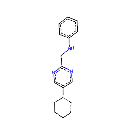 c1ccc(NCc2ncc(C3CCCCC3)cn2)cc1